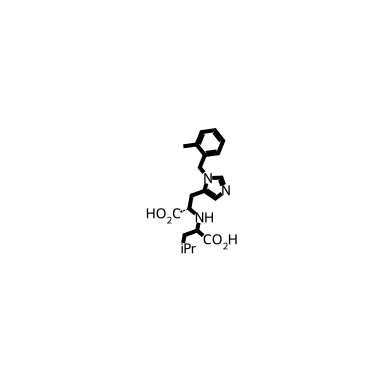 Cc1ccccc1Cn1cncc1C[C@H](NC(CC(C)C)C(=O)O)C(=O)O